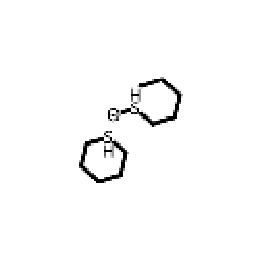 C1CC[SH](O[SH]2CCCCC2)CC1